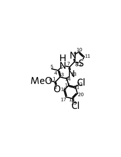 COC(=O)C1=C(C)NC(c2nccs2)=NC1c1ccc(Cl)cc1Cl